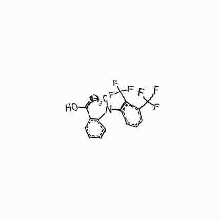 CN(c1ccccc1C(=O)O)c1cccc(C(F)(F)F)c1C(F)(F)F